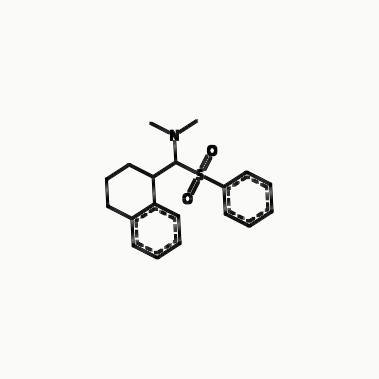 CN(C)C(C1CCCc2ccccc21)S(=O)(=O)c1ccccc1